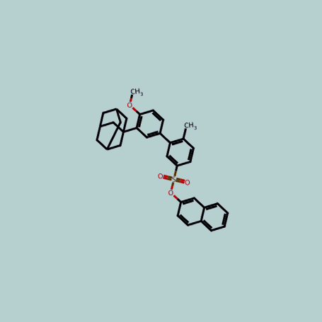 COc1ccc(-c2cc(S(=O)(=O)Oc3ccc4ccccc4c3)ccc2C)cc1C12CC3CC(CC(C3)C1)C2